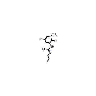 C/C(=N\CCI)Nc1cc(Br)cn(C)c1=O